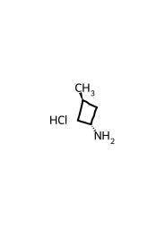 C[C@H]1C[C@H](N)C1.Cl